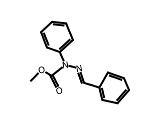 COC(=O)N(N=Cc1ccccc1)c1ccccc1